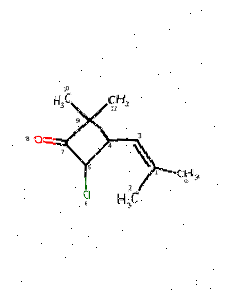 CC(C)=CC1C(Cl)C(=O)C1(C)C